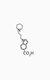 O=C(O)c1ccc2c(ccn2CCCN2CCCCC2)c1